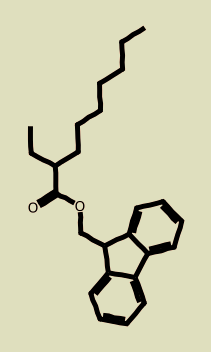 CCCCCCCC(CC)C(=O)OCC1c2ccccc2-c2ccccc21